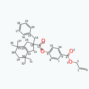 C=CCOC(=O)c1ccc(OC(=O)C2(Cc3ccccc3)CC3=C(C2)C(C)(C)CCC3(C)C)cc1